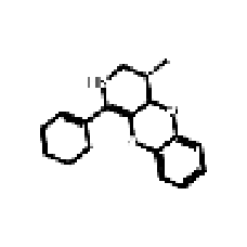 C[C@@H]1CNC(C2=CCCCC2)=C2Oc3ccccc3OC21